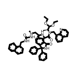 CCOC(OCC)[C@H](C)N(Cc1cccc2cccnc12)C(=O)[C@H](CC(=O)NC(c1ccccc1)(c1ccccc1)c1ccccc1)NC(=O)CN(C)NC(=O)NCc1cccc2ccccc12